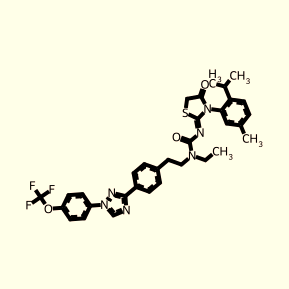 CCN(CCc1ccc(-c2ncn(-c3ccc(OC(F)(F)F)cc3)n2)cc1)C(=O)N=C1SCC(=O)N1c1cc(C)ccc1C(C)C